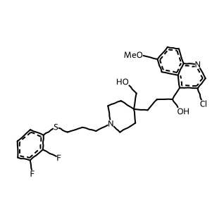 COc1ccc2ncc(Cl)c(C(O)CCC3(CO)CCN(CCCSc4cccc(F)c4F)CC3)c2c1